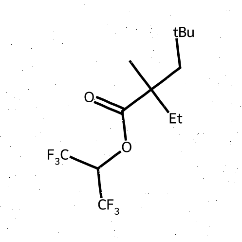 CCC(C)(CC(C)(C)C)C(=O)OC(C(F)(F)F)C(F)(F)F